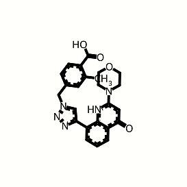 Cc1cc(Cn2cc(-c3cccc4c(=O)cc(N5CCOCC5)[nH]c34)nn2)ccc1C(=O)O